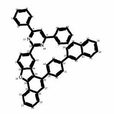 c1ccc(-c2cc(-c3ccccc3)nc(-c3ccc4oc5c6ccccc6cc(-c6ccc(-c7ccc8ccccc8c7)cc6)c5c4c3)n2)cc1